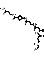 CCC(CC(=O)NCCC(=O)NC1CC(C(=O)NCCC(=O)NC)C1)NC(=O)CCNCC(C)=O